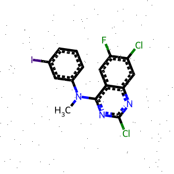 CN(c1cccc(I)c1)c1nc(Cl)nc2cc(Cl)c(F)cc12